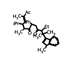 CCC(C(=O)CC(C(=O)C(C)C(/C=C(\C)C(C)=O)C(C)C)C(C)C)C(C)(C)C1=CC(C)c2ccccc21